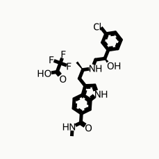 CNC(=O)c1ccc2c(C[C@@H](C)NC[C@H](O)c3cccc(Cl)c3)c[nH]c2c1.O=C(O)C(F)(F)F